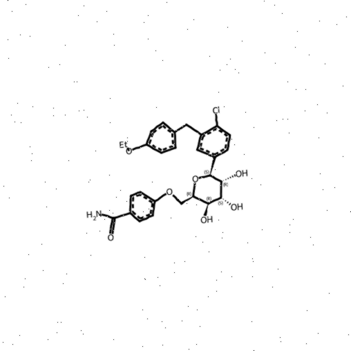 CCOc1ccc(Cc2cc([C@@H]3O[C@H](COc4ccc(C(N)=O)cc4)[C@H](O)[C@@H](O)[C@H]3O)ccc2Cl)cc1